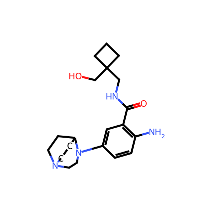 Nc1ccc(N2CCN3CCC2CC3)cc1C(=O)NCC1(CO)CCC1